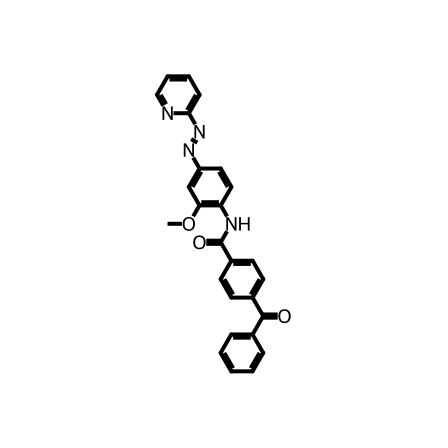 COc1cc(N=Nc2ccccn2)ccc1NC(=O)c1ccc(C(=O)c2ccccc2)cc1